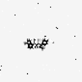 Cc1cc2c(cc1Cl)C(NC(=O)Nc1cccc3[nH]ncc13)CCO2